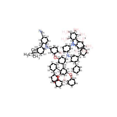 Bc1c(B)c(B)c2c(c1B)c1c(B)c(B)c(B)c(B)c1n2-c1ccc2c(c1)N(c1cc(-c3ccccc3)cc(-c3ccccc3)c1)c1cc(-c3cc4c5c(c3-c3ccccc3-c3ccccc3)Oc3ccccc3B5c3ccccc3O4)cc3c1B2c1ccc(-n2c4ccc(C#N)cc4c4cc(C(C)(C)C)ccc42)cc1O3